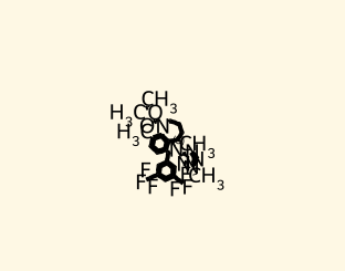 Cc1cccc2c1N(C(=O)OC(C)C)CCC[C@]2(C)N(Cc1cc(C(F)(F)F)cc(C(F)(F)F)c1)c1nnn(C)n1